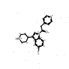 O=C(Cc1ccncc1)n1cc(C2CCNCC2)c2cc(F)ccc21